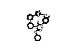 Cc1ccc(NC(=O)N(C(=O)NC2CCCCC2)C2CCCCC2)cc1Nc1nc(-c2cccnc2)cs1